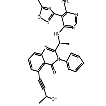 Cc1nc(-c2c(N)ncnc2N[C@@H](C)c2nc3cccc(C#CC(C)O)c3c(=O)n2-c2ccccc2)no1